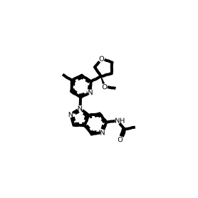 CO[C@]1(c2cc(C)cc(-n3ncc4cnc(NC(C)=O)cc43)n2)CCOC1